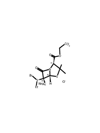 CC[S+](Br)[C@]1(NC(C)=O)C(=O)N2[C@@H](C(=O)OCC(Cl)(Cl)Cl)C(C)(C)S[C@@H]21.[Cl-]